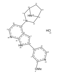 COc1cc(-c2cc3c(N4CC5CCC(C4)N5)ccnc3[nH]2)ccn1.Cl